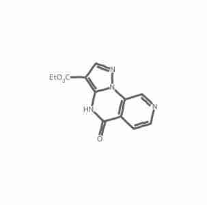 CCOC(=O)c1cnn2c1[nH]c(=O)c1ccncc12